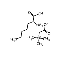 C[N+](C)(C)CC(=O)[O-].NCCCCC(N)C(=O)O